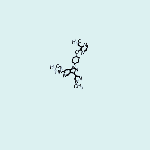 CCNc1cc2c(cn1)c(-c1cnn(C)c1)nn2[C@H]1CC[C@@H](Oc2nccnc2CC)CC1